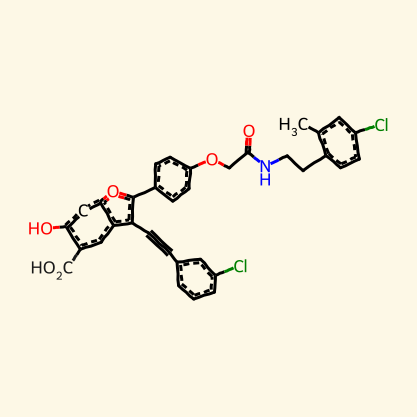 Cc1cc(Cl)ccc1CCNC(=O)COc1ccc(-c2oc3cc(O)c(C(=O)O)cc3c2C#Cc2cccc(Cl)c2)cc1